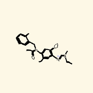 CCN(C)/C=N/c1cc(C)c(N(Cc2ccccc2C)C(C)=O)cc1Cl